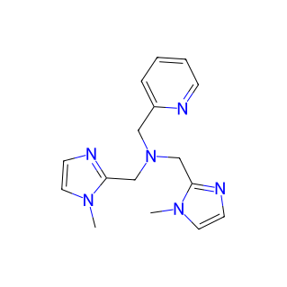 Cn1ccnc1CN(Cc1ccccn1)Cc1nccn1C